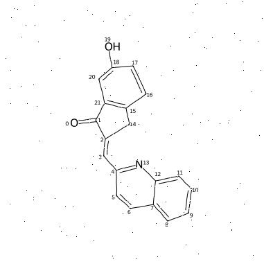 O=C1C(=Cc2ccc3ccccc3n2)Cc2ccc(O)cc21